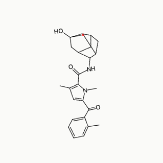 Cc1ccccc1C(=O)c1cc(C)c(C(=O)NC2C3CC4CC2CC(O)(C4)C3)n1C